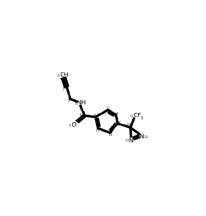 C#CCNC(=O)c1ccc(C2(C(F)(F)F)N=N2)cc1